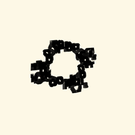 CCCCC1OC(=O)C(CC(C)C)N(C)C(=O)C(C(C)C)OC(=O)C(Cc2ccccc2)N(C)C(=O)C(C(C)C)OC(=O)C(Cc2ccccc2)N(C)C(=O)C(C(C)C)OC(=O)C(Cc2ccccc2)N(C)C1=O